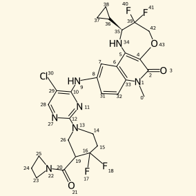 Cn1c(=O)c2c(c3cc(Nc4nc(N5CCC(F)(F)C(C(=O)N6CCC6)C5)ncc4Cl)ccc31)N[C@@H](C1CC1)C(F)(F)CO2